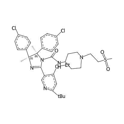 CCOc1cc(C(C)(C)C)ncc1C1=N[C@@](C)(c2ccc(Cl)cc2)[C@@](C)(c2ccc(Cl)cc2)N1C(=O)NC1CCN(CCS(C)(=O)=O)CC1